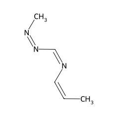 C\C=C/N=C\N=N/C